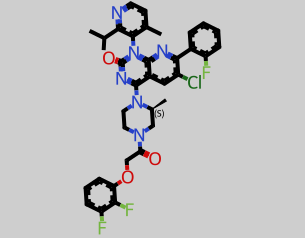 Cc1ccnc(C(C)C)c1-n1c(=O)nc(N2CCN(C(=O)COc3cccc(F)c3F)C[C@@H]2C)c2cc(Cl)c(-c3ccccc3F)nc21